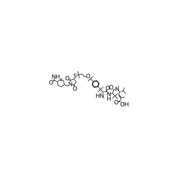 CN[C@H](C(=O)NC(C(=O)N(C)[C@H](/C=C(\C)C(=O)O)C(C)C)C(C)(C)C)C(C)(C)c1ccc(C(C)(C)OCCC(C)(C)SC2CC(=O)N(CC3CCC(C(N)=O)CC3)C2=O)cc1